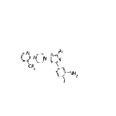 CC(=O)c1nc(-c2ccc(F)c(N)c2)cc(N2CCN(c3ncccc3C(F)(F)F)CC2)n1